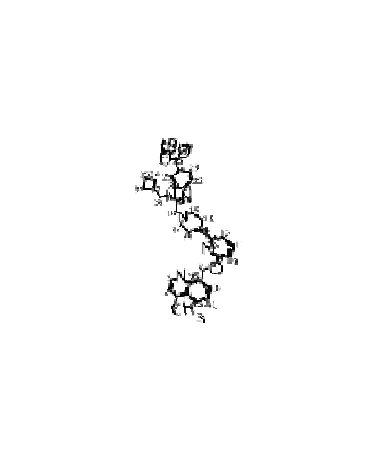 Cc1ccnc2c(COc3cccc(C4CCN(Cc5nc6ccc(C(=O)OC(C)(C)C)cc6n5CC5CCC5)CC4)n3)cccc12